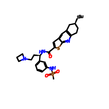 CC(C)(C)[C@H]1CCc2nc3sc(C(=O)N[C@H](CCN4CCC4)c4cccc(NS(C)(=O)=O)c4)cc3cc2C1